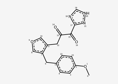 COc1ccc(Cc2cocc2CC(=O)C(=O)c2nc[nH]n2)cc1